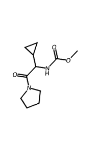 COC(=O)NC(C(=O)N1CCCC1)C1CC1